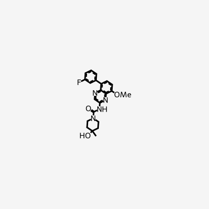 COc1ccc(-c2cccc(F)c2)c2ncc(NC(=O)N3CCC(C)(O)CC3)nc12